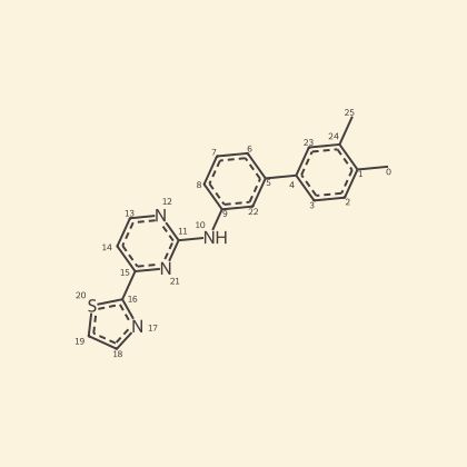 Cc1ccc(-c2cccc(Nc3nccc(-c4nccs4)n3)c2)cc1C